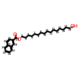 O=C(OCCCCCCCCCCCCCCCCO)c1ccc2ccccc2c1